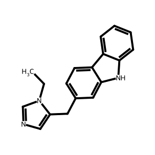 CCn1cncc1Cc1ccc2c(c1)[nH]c1ccccc12